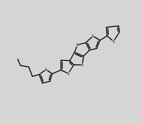 CCCCc1ccc(-c2cc3c(s2)sc2c4cc(-c5cccs5)sc4sc32)s1